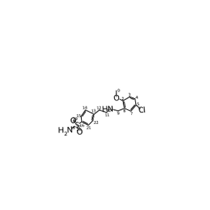 COc1ccc(Cl)cc1CNCCc1ccc(S(N)(=O)=O)cc1